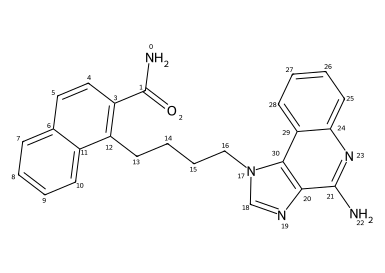 NC(=O)c1ccc2ccccc2c1CCCCn1cnc2c(N)nc3ccccc3c21